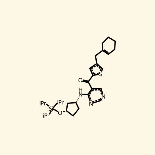 CC(C)[Si](O[C@H]1[CH]C[C@@H](Nc2ncncc2C(=O)c2cc(CC3=CCCCC3)cs2)C1)(C(C)C)C(C)C